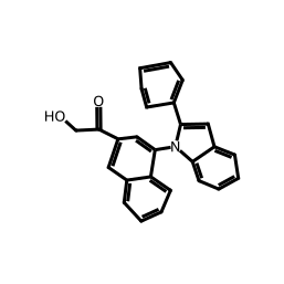 O=C(CO)c1cc(-n2c(-c3ccccc3)cc3ccccc32)c2ccccc2c1